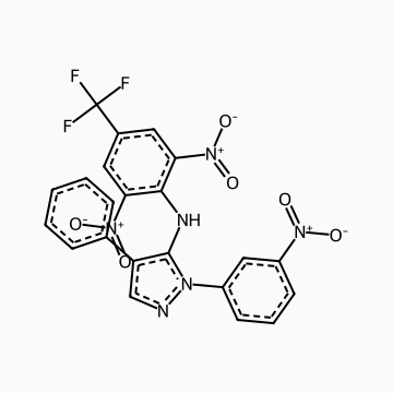 O=[N+]([O-])c1cccc(-n2ncc(-c3ccccc3)c2Nc2c([N+](=O)[O-])cc(C(F)(F)F)cc2[N+](=O)[O-])c1